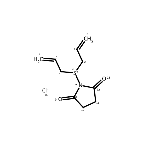 C=CC[S+](CC=C)N1C(=O)CCC1=O.[Cl-]